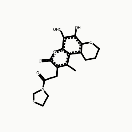 Cc1c(CC(=O)N2CCSC2)c(=O)oc2c(C=O)c(O)c3c(c12)CCCO3